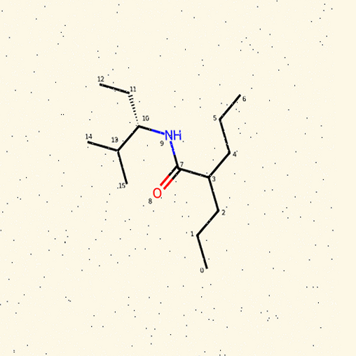 CCCC(CCC)C(=O)N[C@@H](CC)C(C)C